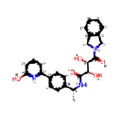 C[C@@H](NC(=O)[C@H](O)[C@@H](O)C(=O)N1Cc2ccccc2C1)c1ccc(-c2cccc(O)n2)cc1